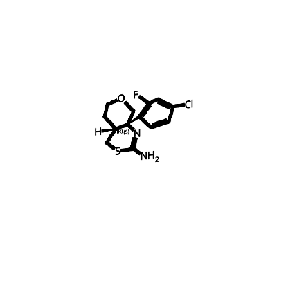 NC1=N[C@@]2(c3ccc(Cl)cc3F)COCC[C@H]2CS1